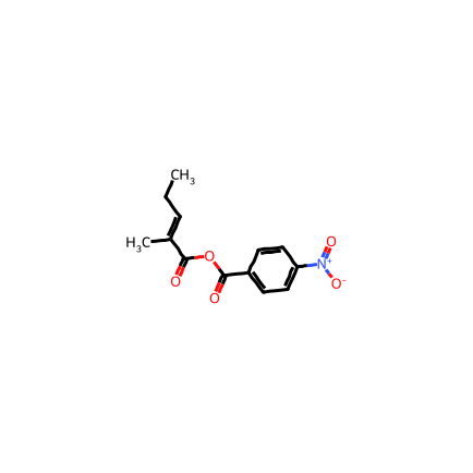 CCC=C(C)C(=O)OC(=O)c1ccc([N+](=O)[O-])cc1